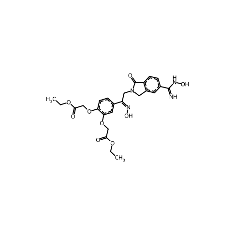 CCOC(=O)COc1ccc(C(CN2Cc3cc(C(=N)NO)ccc3C2=O)=NO)cc1OCC(=O)OCC